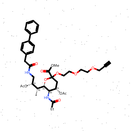 C#CCOCCOCCOC1(C(=O)OC)C[C@H](OC(C)=O)[C@@H](NC(=O)CC)[C@H]([C@H](C)[C@@H](CNC(=O)Cc2ccc(-c3ccccc3)cc2)OC(C)=O)O1